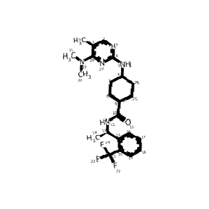 Cc1cnc(NC2CCC(C(=O)N[C@H](C)c3ccccc3C(F)(F)F)CC2)nc1N(C)C